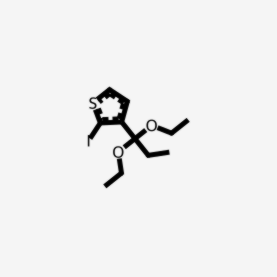 CCOC(CC)(OCC)c1ccsc1I